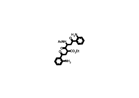 CCOC(=O)C(CC(=O)c1ccccc1N)C(=O)C(CC(=O)c1ccccc1N)NC(C)=O